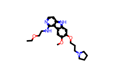 CCOCCNc1nccc2[nH]c3cc(OCCCN4CCCC4)c(OC)cc3c12